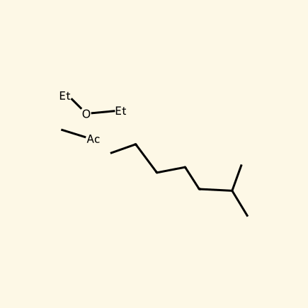 CC(C)=O.CCCCCC(C)C.CCOCC